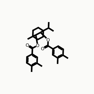 Cc1ccc(C(=O)OC2C(OC(=O)c3ccc(C)c(C)c3)C3(C(C)C)CCC2(C)CC3)cc1C